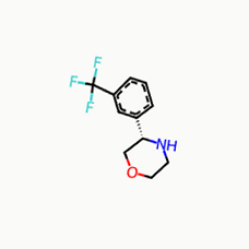 FC(F)(F)c1cccc([C@H]2COCCN2)c1